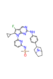 CN1C2CCC1CC(c1ccc(Nc3ncc4c(F)c(C5CC5)n(-c5cccc(N=S(C)(C)=O)n5)c4n3)cc1)C2